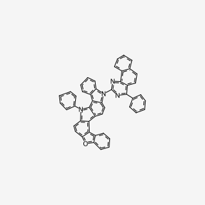 c1ccc(-c2nc(-n3c4ccccc4c4c3ccc3c5c6c(ccc5n(-c5ccccc5)c34)oc3ccccc36)nc3c2ccc2ccccc23)cc1